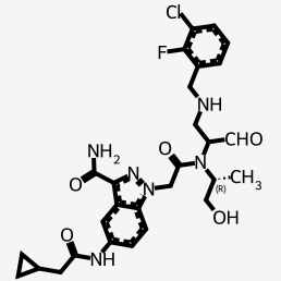 C[C@H](CO)N(C(=O)Cn1nc(C(N)=O)c2cc(NC(=O)CC3CC3)ccc21)C(C=O)CNCc1cccc(Cl)c1F